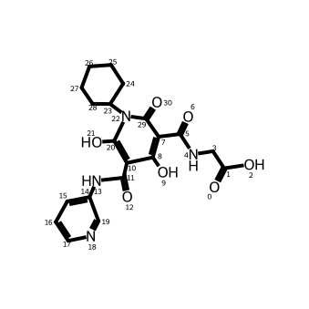 O=C(O)CNC(=O)c1c(O)c(C(=O)Nc2cccnc2)c(O)n(C2CCCCC2)c1=O